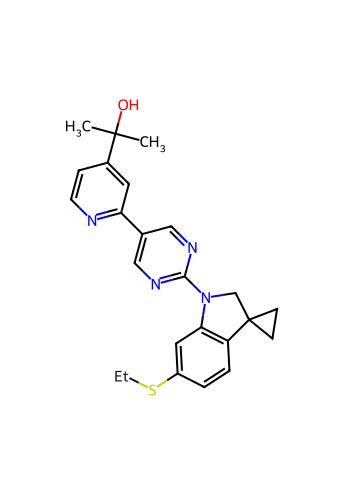 CCSc1ccc2c(c1)N(c1ncc(-c3cc(C(C)(C)O)ccn3)cn1)CC21CC1